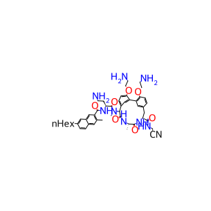 CCCCCCc1ccc2cc(C)c(C(=O)N[C@@H](CCN)C(=O)N(C)[C@@H]3C(=O)N[C@@H](C)C(=O)N[C@H](C(=O)NCC#N)Cc4ccc(OCCN)c(c4)-c4cc3ccc4OCCN)cc2c1